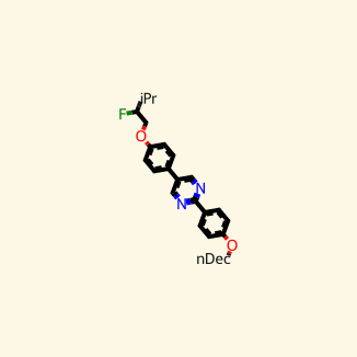 CCCCCCCCCCOc1ccc(-c2ncc(-c3ccc(OCC(F)C(C)C)cc3)cn2)cc1